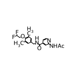 CC(=O)Nc1cc(C(=O)NCc2cc(C)c(OCC(F)F)c(C)c2)ccn1